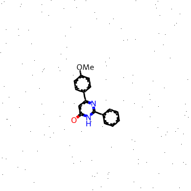 COc1ccc(-c2cc(=O)[nH]c(-c3ccccc3)n2)cc1